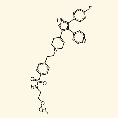 COCCNS(=O)(=O)c1ccc(CCN2CC=C(c3c[nH]c(-c4ccc(F)cc4)c3-c3ccncc3)CC2)cc1